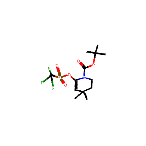 CC1(C)C=C(OS(=O)(=O)C(F)(F)F)N(C(=O)OC(C)(C)C)CC1